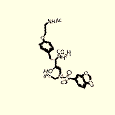 CC(=O)NCCOc1ccc(C[C@H](NC(=O)O)[C@H](O)CN(CC(C)C)S(=O)(=O)c2ccc3c(c2)OCO3)cc1